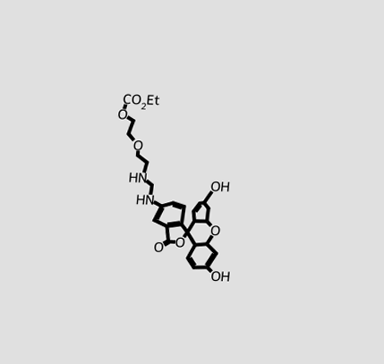 CCOC(=O)OCCOCCNCNc1ccc2c(c1)C(=O)OC21C2C=CC(O)=CC2OC2CC(O)C=CC21